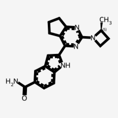 C[C@H]1CCN1c1nc2c(c(-c3cc4cc(C(N)=O)ccc4[nH]3)n1)CCC2